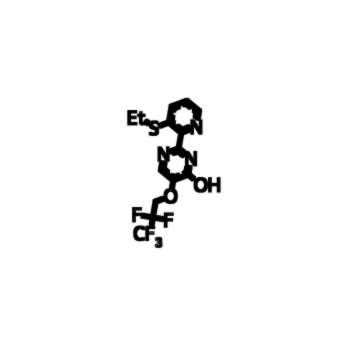 CCSc1cccnc1-c1ncc(OCC(F)(F)C(F)(F)F)c(O)n1